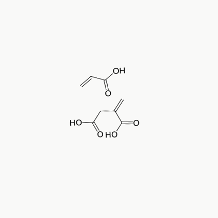 C=C(CC(=O)O)C(=O)O.C=CC(=O)O